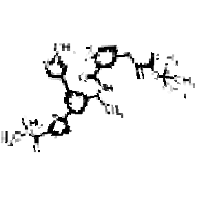 Cc1ccc(CNC(=O)OC(C)(C)C)cc1C(=O)NC(C)c1cc(-c2cnn(C)c2)cc(-c2ccc(C(=O)N(C)C)s2)c1